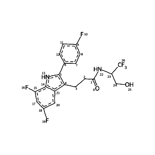 O=C(CCc1c(-c2ccc(F)cc2)[nH]c2c(F)cc(F)cc12)NC(CO)C(F)(F)F